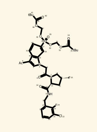 CC(=O)c1cn(CC(=O)N2C[C@H](F)C[C@H]2C(=O)NCc2cccc(Cl)c2F)c2cc(P(=O)(OCOC(=O)C(C)(C)C)OCOC(=O)C(C)(C)C)ccc12